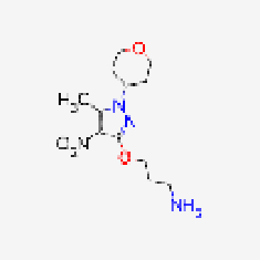 Cc1c([N+](=O)[O-])c(OCCCN)nn1C1CCOCC1